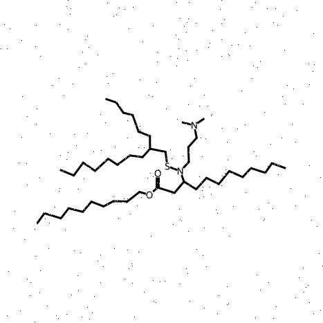 CCCCCCCCCCOC(=O)CC(CCCCCCCCC)N(CCCN(C)C)SCC(CCCCCC)CCCCCCCC